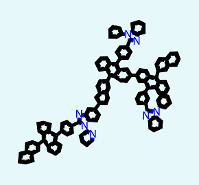 c1ccc(-n2c(-c3ccc(-c4c5ccccc5c(-c5ccc6cc(-c7ccc8c(c7)nc(-c7ccc(-c9c%10ccccc%10c(-c%10ccc%11ccccc%11c%10)c%10ccccc9%10)cc7)n8-c7ccccn7)ccc6c5)c5ccc(-c6ccc7c(-c8ccc9ccccc9c8)c8ccccc8c(-c8cccc(-c9nc%10ccccc%10n9-c9ccccc9)c8)c7c6)cc45)cc3)nc3ccccc32)cc1